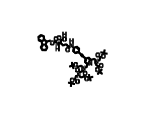 CC(C)(C)OC(=O)CN(CCN(CC(=O)OC(C)(C)C)Cc1cc(C#Cc2ccc(NC(=O)CCC(NC(=O)OCC3c4ccccc4-c4ccccc43)C(=O)O)cc2)cc(CN(CC(=O)OC(C)(C)C)CC(=O)OC(C)(C)C)n1)CC(=O)OC(C)(C)C